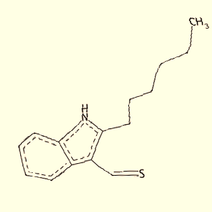 CCCCCCc1[nH]c2ccccc2c1C=S